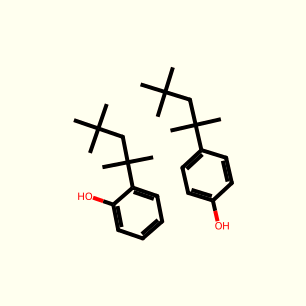 CC(C)(C)CC(C)(C)c1ccc(O)cc1.CC(C)(C)CC(C)(C)c1ccccc1O